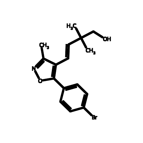 Cc1noc(-c2ccc(Br)cc2)c1C=CC(C)(C)CO